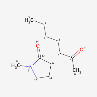 CCCCCC(C)=O.CN1CCCC1=O